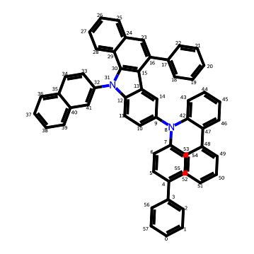 c1ccc(-c2ccc(N(c3ccc4c(c3)c3c(-c5ccccc5)cc5ccccc5c3n4-c3ccc4ccccc4c3)c3ccccc3-c3ccccc3)cc2)cc1